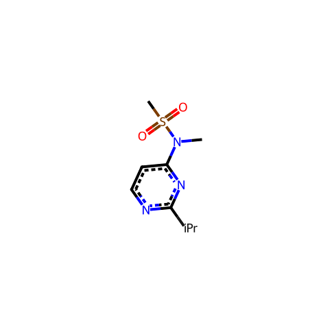 CC(C)c1nccc(N(C)S(C)(=O)=O)n1